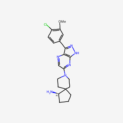 COc1cc(-c2n[nH]c3nc(N4CCC5(CCC[C@H]5N)CC4)cnc23)ccc1Cl